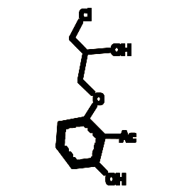 CC(=O)c1c(O)cccc1OCC(O)CCl